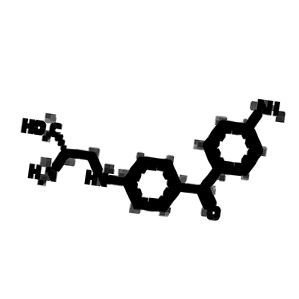 Nc1ccc(C(=O)c2ccc(NC[C@H](N)C(=O)O)cc2)cc1